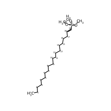 CCCCCCCCCCCCCCCCCC/C=C/[Si](OC)(OC)OC